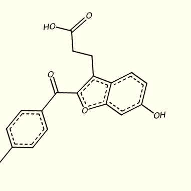 O=C(O)CCc1c(C(=O)c2ccc(Br)cc2)oc2cc(O)ccc12